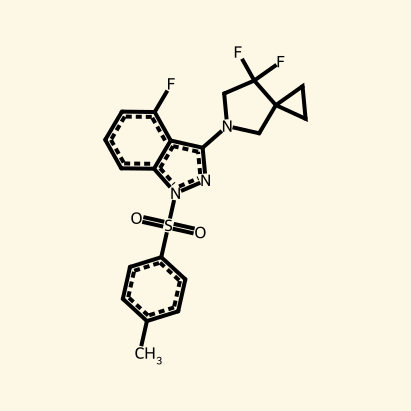 Cc1ccc(S(=O)(=O)n2nc(N3CC(F)(F)C4(CC4)C3)c3c(F)cccc32)cc1